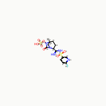 N=C(NS(=O)(=O)c1ccc(F)nc1)[C@@H]1CC[C@@H]2CN1C(=O)N2OS(=O)(=O)O